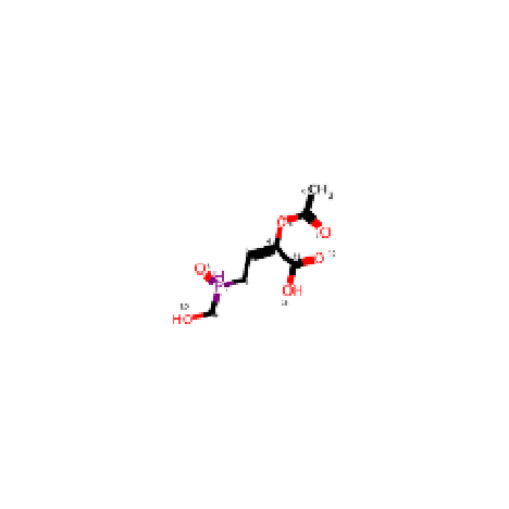 CC(=O)OC(=CC[PH](=O)CO)C(=O)O